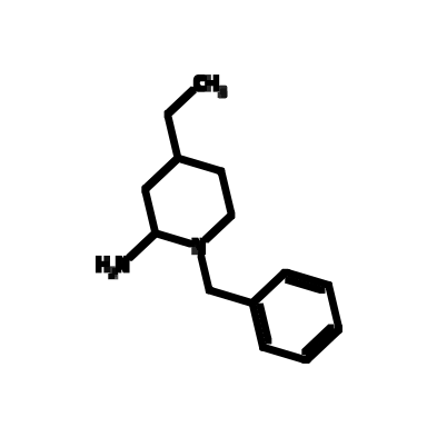 CCC1CCN(Cc2ccccc2)C(N)C1